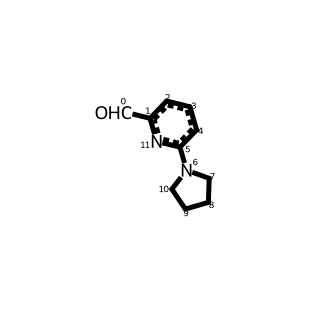 O=Cc1cccc(N2CCCC2)n1